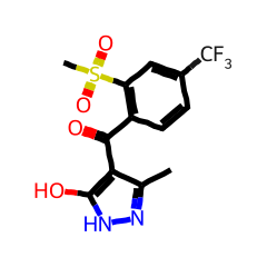 Cc1n[nH]c(O)c1C(=O)c1ccc(C(F)(F)F)cc1S(C)(=O)=O